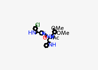 COc1cc(CN(C[C@@H](Cc2c[nH]c3ccccc23)NC(=O)CN2CCC(c3c[nH]c4ccc(Cl)cc34)CC2)C(C)=O)cc(OC)c1